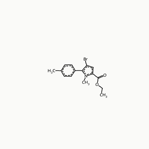 CCOC(=O)c1cc(Br)c(-c2ccc(C)cc2)n1C